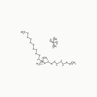 CCCCCCCCCCC[N+](C)(C)CCCCCCCCCC.O=P([O-])(O)O